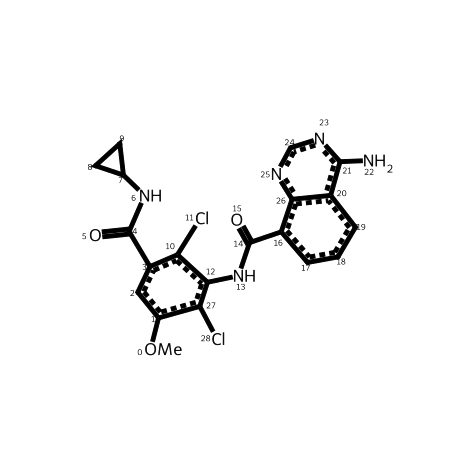 COc1cc(C(=O)NC2CC2)c(Cl)c(NC(=O)c2cccc3c(N)ncnc23)c1Cl